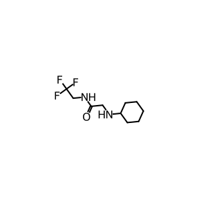 O=C(CNC1CCCCC1)NCC(F)(F)F